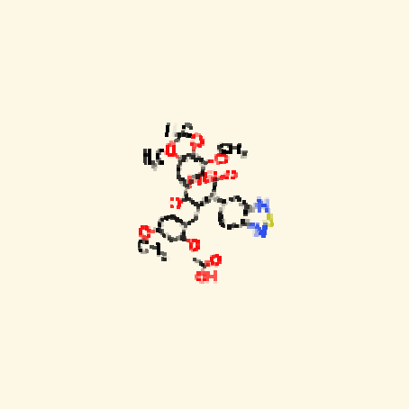 COc1ccc(CC(C(=O)c2cc(OC)c(OC)c(OC)c2)=C(C(=O)O)c2ccc3nsnc3c2)c(OCC(=O)O)c1